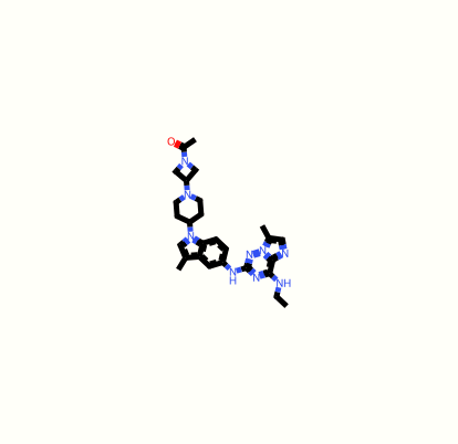 CCNc1nc(Nc2ccc3c(c2)c(C)cn3C2CCN(C3CN(C(C)=O)C3)CC2)nn2c(C)cnc12